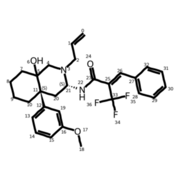 C=CCN1CC2(O)CCCC[C@@]2(c2cccc(OC)c2)C[C@H]1NC(=O)C(=Cc1ccccc1)C(F)(F)F